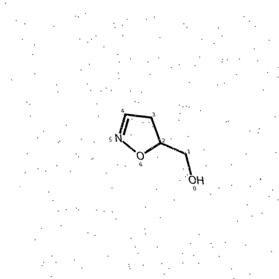 OCC1CC=NO1